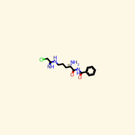 N=C(CCl)NCCC[C@H](N)C(=O)NC(=O)c1ccccc1